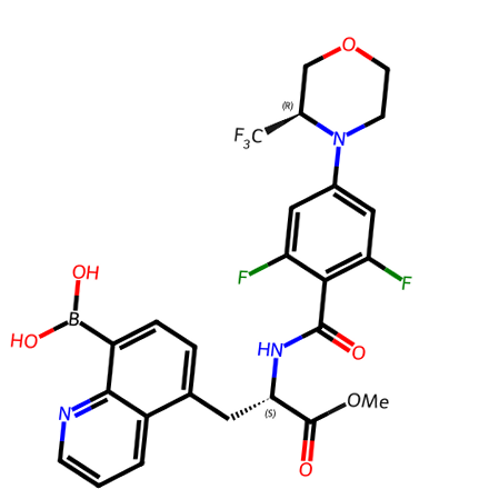 COC(=O)[C@H](Cc1ccc(B(O)O)c2ncccc12)NC(=O)c1c(F)cc(N2CCOC[C@@H]2C(F)(F)F)cc1F